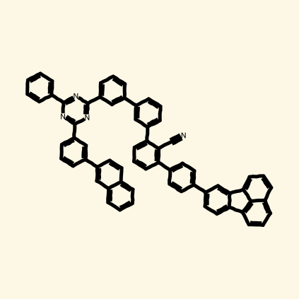 N#Cc1c(-c2ccc(-c3ccc4c(c3)-c3cccc5cccc-4c35)cc2)cccc1-c1cccc(-c2cccc(-c3nc(-c4ccccc4)nc(-c4cccc(-c5ccc6ccccc6c5)c4)n3)c2)c1